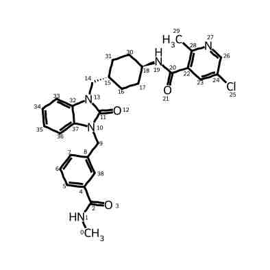 CNC(=O)c1cccc(Cn2c(=O)n(C[C@H]3CC[C@H](NC(=O)c4cc(Cl)cnc4C)CC3)c3ccccc32)c1